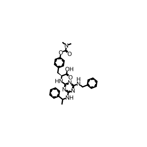 CC(Nc1nc(NCc2ccccc2)nc(N[C@@H](Cc2ccc(OC(=O)N(C)C)cc2)C(=O)O)n1)c1ccccc1